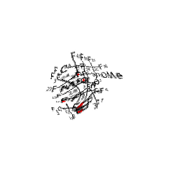 C[O][Sn]([O][Sn]([O]C)([C](F)(F)C(F)(F)C(F)(F)C(F)(F)F)[C](F)(F)C(F)(F)C(F)(F)C(F)(F)F)([C](F)(F)C(F)(F)C(F)(F)C(F)(F)F)[C](F)(F)C(F)(F)C(F)(F)C(F)(F)F